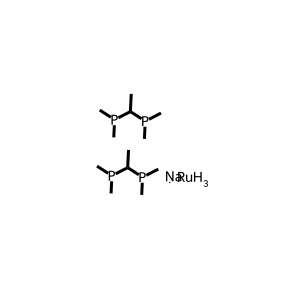 CC(P(C)C)P(C)C.CC(P(C)C)P(C)C.[Na].[RuH3]